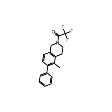 Cc1c(-c2ccccc2)ccc2c1CCN(C(=O)C(F)(F)F)C2